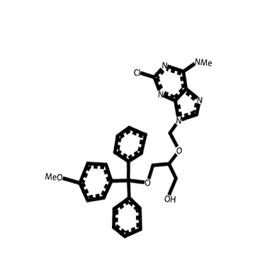 CNc1nc(Cl)nc2c1ncn2COC(CO)COC(c1ccccc1)(c1ccccc1)c1ccc(OC)cc1